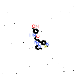 Cc1cccc(-n2nc(CC(=O)Nc3cccc(CO)c3)cc2-c2ccc3ncsc3c2)n1